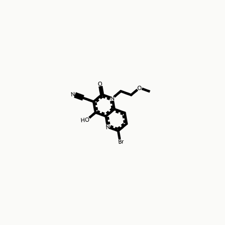 COCCn1c(=O)c(C#N)c(O)c2nc(Br)ccc21